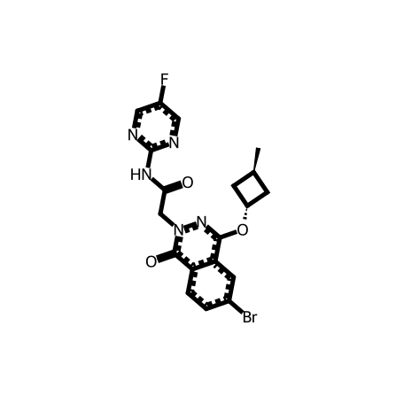 C[C@H]1C[C@H](Oc2nn(CC(=O)Nc3ncc(F)cn3)c(=O)c3ccc(Br)cc23)C1